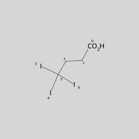 O=C(O)CCC(I)(I)I